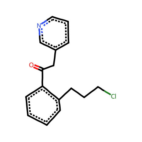 O=C(Cc1cccnc1)c1ccccc1CCCCl